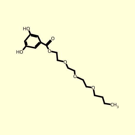 CCCCOCCOCCOCCOC(=O)c1cc(O)cc(O)c1